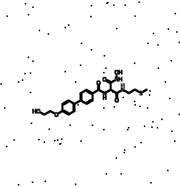 CSCCNC(=O)C(NC(=O)c1ccc(-c2ccc(OCCO)cc2)cc1)C(=O)NO